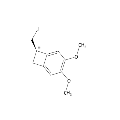 COc1cc2c(cc1OC)[C@H](CI)C2